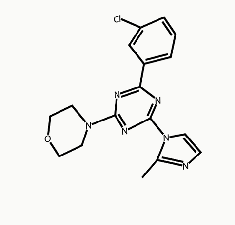 Cc1nccn1-c1nc(-c2cccc(Cl)c2)nc(N2CCOCC2)n1